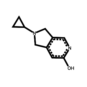 Oc1cc2c(cn1)CN(C1CC1)C2